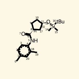 Cc1ccc(NC(=O)[C@@H]2CC[C@H](O[Si](C)(C)C(C)(C)C)C2)c(C)c1